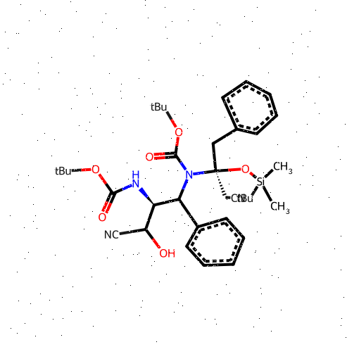 CC(C)(C)OC(=O)N[C@H](C(O)C#N)C(c1ccccc1)N(C(=O)OC(C)(C)C)[C@@](CC#N)(Cc1ccccc1)O[Si](C)(C)C(C)(C)C